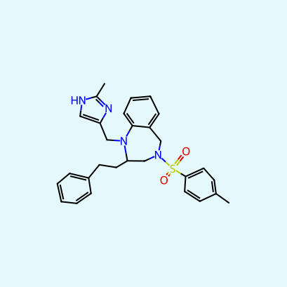 Cc1ccc(S(=O)(=O)N2Cc3ccccc3N(Cc3c[nH]c(C)n3)C(CCc3ccccc3)C2)cc1